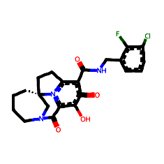 O=C(NCc1cccc(Cl)c1F)c1c2n3c(c(O)c1=O)C(=O)N1CCCC[C@@]3(CC2)C1